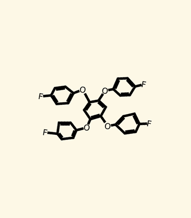 Fc1ccc(Oc2cc(Oc3ccc(F)cc3)c(Oc3ccc(F)cc3)cc2Oc2ccc(F)cc2)cc1